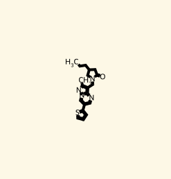 CCCC1CC(=O)N(Cc2c(C)nn3cc(-c4cccs4)cnc23)C1